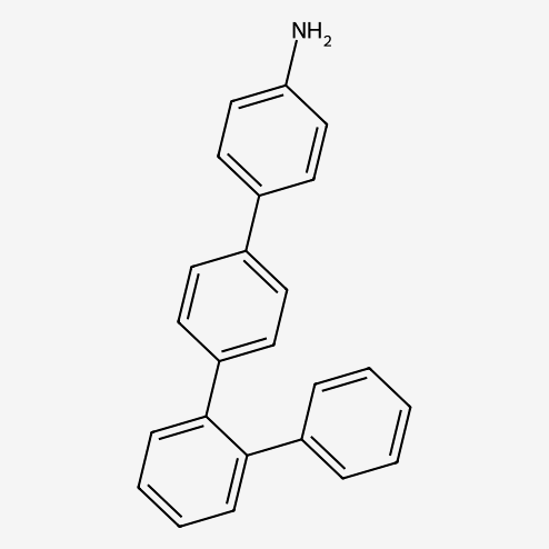 Nc1ccc(-c2ccc(-c3ccccc3-c3ccccc3)cc2)cc1